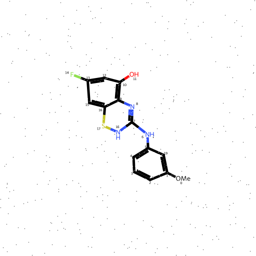 COc1cccc(NC2=Nc3c(O)cc(F)cc3SN2)c1